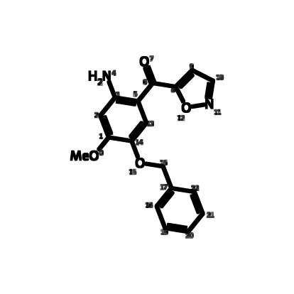 COc1cc(N)c(C(=O)c2ccno2)cc1OCc1ccccc1